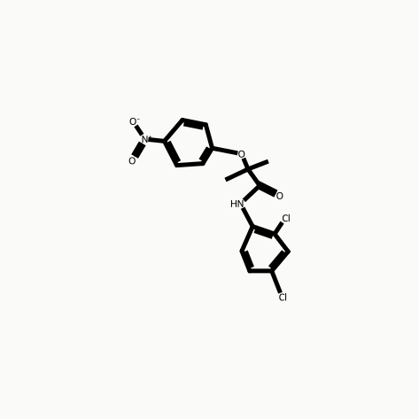 CC(C)(Oc1ccc([N+](=O)[O-])cc1)C(=O)Nc1ccc(Cl)cc1Cl